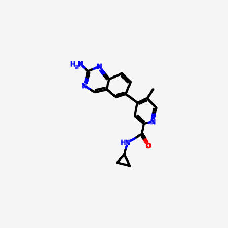 Cc1cnc(C(=O)NC2CC2)cc1-c1ccc2nc(N)ncc2c1